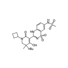 CCCCC1(C)CN(C2CCC2)C(=O)C(C2=NS(=O)(=O)c3cc(NS(C)(=O)=O)ccc3N2)=C1O